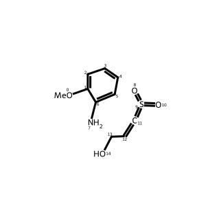 COc1ccccc1N.O=S(=O)=C=CCO